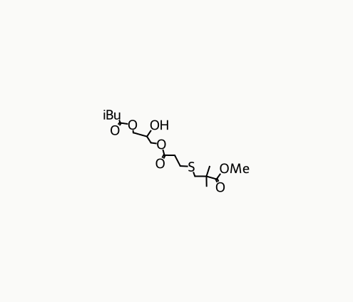 CCC(C)C(=O)OCC(O)COC(=O)CCSCC(C)(C)C(=O)OC